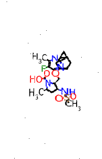 Cc1nc(C23CCC(OC[C@H]4[C@@H](NS(C)(=O)=O)C[C@@H](C)N4C(=O)O)CC2C3)ncc1F